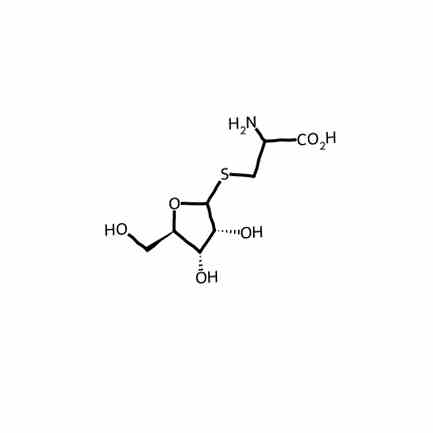 NC(CSC1O[C@H](CO)[C@@H](O)[C@H]1O)C(=O)O